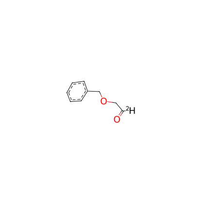 [2H]C(=O)COCc1ccccc1